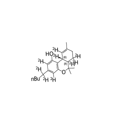 [2H]C1=C(C)CC([2H])([2H])[C@@]2([2H])C(C)(C)Oc3c([2H])c(C([2H])([2H])CCCC)c([2H])c(O)c3[C@]12[2H]